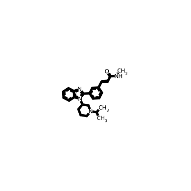 CNC(=O)/C=C/c1cccc(-c2nc3ccccc3n2C2CCCN(C(C)C)C2)c1